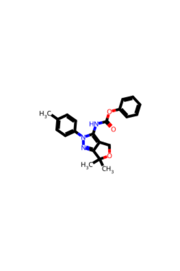 Cc1ccc(-n2nc3c(c2NC(=O)Oc2ccccc2)COC3(C)C)cc1